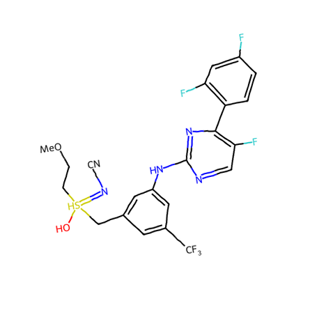 COCC[SH](O)(Cc1cc(Nc2ncc(F)c(-c3ccc(F)cc3F)n2)cc(C(F)(F)F)c1)=NC#N